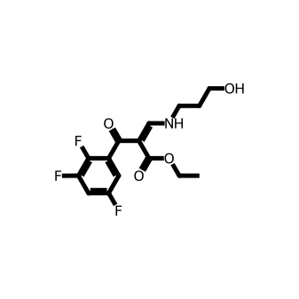 CCOC(=O)C(=CNCCCO)C(=O)c1cc(F)cc(F)c1F